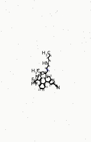 CCCCNC/C=C/C(=O)N1Cc2sc(C#N)cc2C(c2ccccc2-c2cn(CC)nc2C(F)(F)F)C1